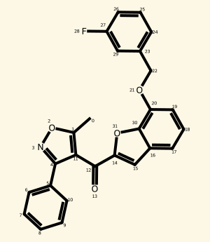 Cc1onc(-c2ccccc2)c1C(=O)c1cc2cccc(OCc3cccc(F)c3)c2o1